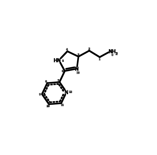 NCCC1CNC(c2ccccn2)=N1